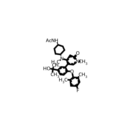 CC(=O)N[C@H]1CC[C@H](N(C)c2cc(=O)n(C)cc2-c2cc(C(C)(C)O)ccc2Oc2c(C)cc(F)cc2C)CC1